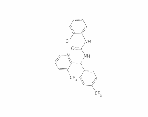 O=C(Nc1ccccc1Cl)NC(c1ccc(C(F)(F)F)cc1)c1ncccc1C(F)(F)F